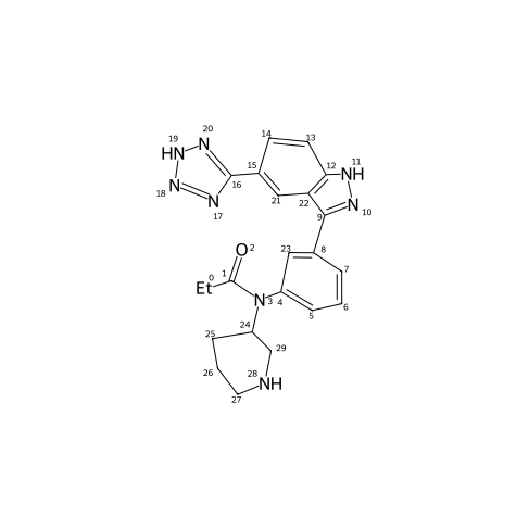 CCC(=O)N(c1cccc(-c2n[nH]c3ccc(-c4nn[nH]n4)cc23)c1)C1CCCNC1